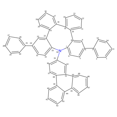 c1ccc(-c2ccc3c(c2)c2ccccc2c2ccccc2c2cc(-c4ccccc4)ccc2n3-c2ccc3c4ccccc4c4ccccc4c3c2)cc1